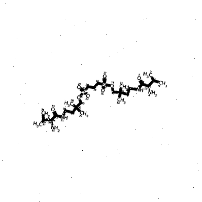 CC(C)[C@H](N)C(=O)NCCC(C)(C)COS(=O)(=O)CCCS(=O)(=O)OCC(C)(C)CCNC(=O)[C@@H](N)C(C)C